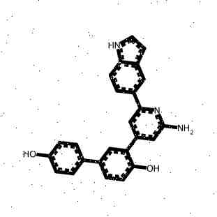 Nc1cc(-c2cc(-c3ccc(O)cc3)ccc2O)cc(-c2ccc3[nH]ccc3c2)n1